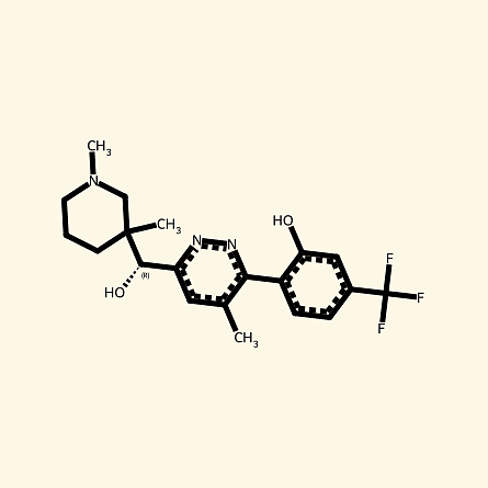 Cc1cc([C@H](O)C2(C)CCCN(C)C2)nnc1-c1ccc(C(F)(F)F)cc1O